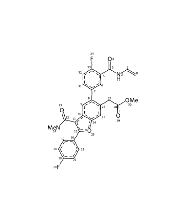 C=CNC(=O)c1cc(-c2cc3c(C(=O)NC)c(-c4ccc(F)cc4)oc3cc2CC(=O)OC)ccc1F